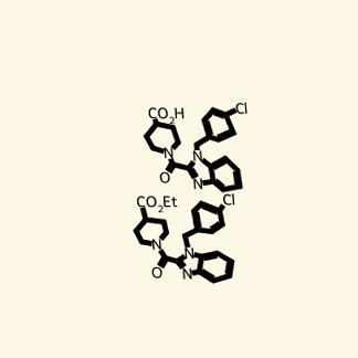 CCOC(=O)C1CCN(C(=O)c2nc3ccccc3n2Cc2ccc(Cl)cc2)CC1.O=C(O)C1CCN(C(=O)c2nc3ccccc3n2Cc2ccc(Cl)cc2)CC1